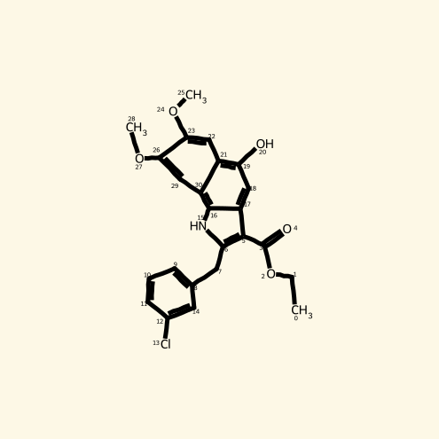 CCOC(=O)c1c(Cc2cccc(Cl)c2)[nH]c2c1cc(O)c1cc(OC)c(OC)cc12